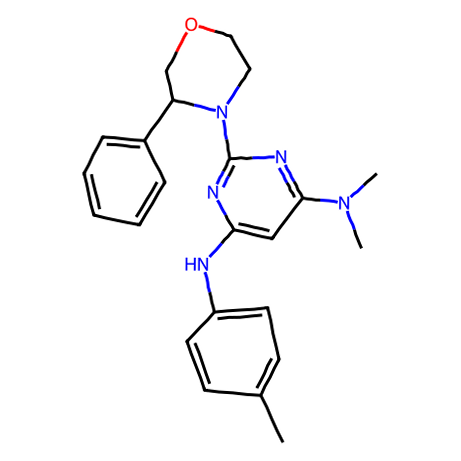 Cc1ccc(Nc2cc(N(C)C)nc(N3CCOCC3c3ccccc3)n2)cc1